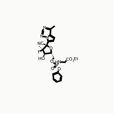 CCOC(=O)CNP(=O)(OC[C@H]1O[C@@](C#N)(c2ccc3c(C)ncnn23)[C@](C)(F)[C@@H]1O)Oc1ccccc1